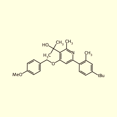 COc1ccc(COc2cc(-c3ccc(C(C)(C)C)cc3C)nc(C)c2C(C)(C)O)cc1